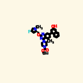 C[C@H]1CN(C(=O)OC(C)(C)C)CCN1c1nc(OC[C@@H]2C[C@H](F)CN2C)nc2c1CCC(c1cc(O)cc3ccccc13)C2